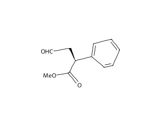 COC(=O)[C@@H](CC=O)c1ccccc1